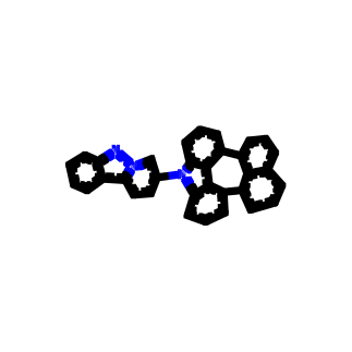 c1cc2c3c(cccc3c1)-c1cccc3c1c1c-2cccc1n3-c1ccc2c3ccccc3nn2c1